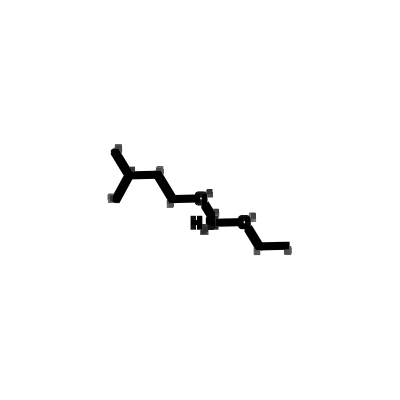 CCO[SiH2]OCCC(C)C